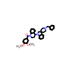 COc1ccc(C(=O)N2CCC(N3CC4(CCN(Cc5ccccc5)CC4)c4ccccc43)c3ccccc32)cc1OC